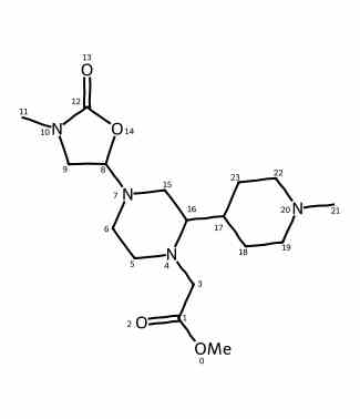 COC(=O)CN1CCN(C2CN(C)C(=O)O2)CC1C1CCN(C)CC1